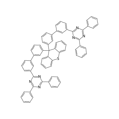 c1ccc(-c2nc(-c3ccccc3)nc(-c3cccc(-c4cccc(C5(c6cccc(-c7cccc(-c8nc(-c9ccccc9)nc(-c9ccccc9)n8)c7)c6)c6ccccc6Sc6ccccc65)c4)c3)n2)cc1